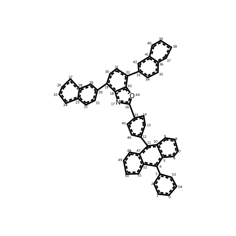 c1ccc(-c2c3ccccc3c(-c3ccc(-c4nc5c(-c6ccc7ccccc7c6)ccc(-c6ccc7ccccc7c6)c5o4)cc3)c3ccccc23)cc1